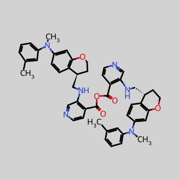 Cc1cccc(N(C)c2ccc3c(c2)OCC[C@H]3CNc2cnccc2C(=O)OC(=O)c2ccncc2NC[C@@H]2CCOc3cc(N(C)c4cccc(C)c4)ccc32)c1